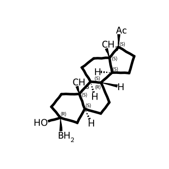 B[C@@]1(O)CC[C@@]2(C)[C@@H](CC[C@@H]3[C@@H]2CC[C@]2(C)[C@@H](C(C)=O)CC[C@@H]32)C1